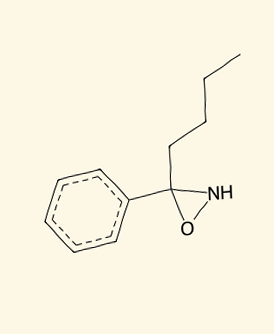 CCCCC1(c2ccccc2)NO1